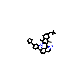 Cc1c2cc(CC(C)(C)C)ccc2c(C)c2c1c1c3c(ccc4c5ccc(C6CCCC6)cc5n2c43)cc[n+]1C